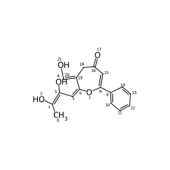 C\C(O)=C(O)/C=C1/OC(c2ccccc2)=CC(=O)C/C1=C\O